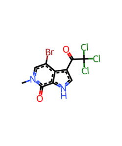 Cn1cc(Br)c2c(C(=O)C(Cl)(Cl)Cl)c[nH]c2c1=O